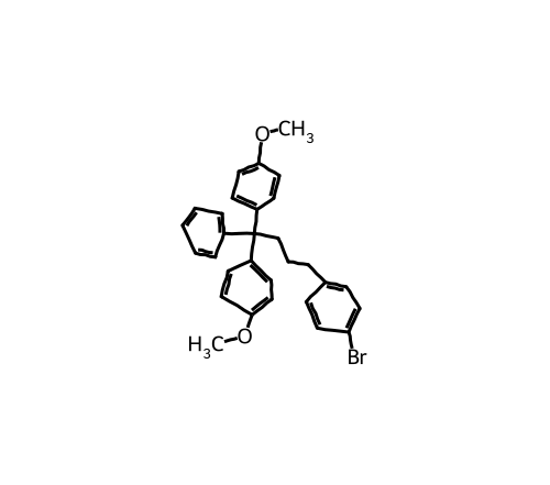 COc1ccc(C(CCCc2ccc(Br)cc2)(c2ccccc2)c2ccc(OC)cc2)cc1